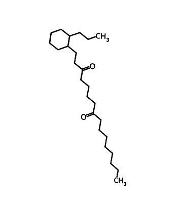 CCCCCCCCC(=O)CCCCC(=O)CCC1CCCCC1CCC